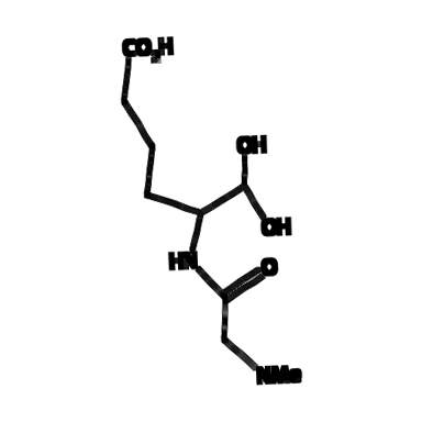 CNCC(=O)NC(CCCC(=O)O)C(O)O